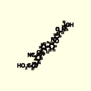 Cc1c(-c2nc3c(o2)CN(C(=O)CN2CC(C)(O)C2)C3)cccc1-c1cccc(-c2nc3cc(CN4CCC(C(=O)O)C4)cc(C#N)c3o2)c1C